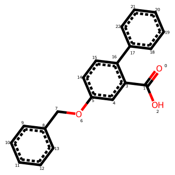 O=C(O)c1cc(OCc2ccccc2)ccc1-c1ccccc1